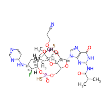 CC(C)C(=O)Nc1nc2c(ncn2[C@@H]2OC3COP(=O)(S)O[C@@H]4[C@@H](COP(=S)(OCCC#N)O[C@@H]2C3O[Si](C)(C)C(C)(C)C)C[C@@H](Nc2ccncn2)[C@@H]4F)c(=O)[nH]1